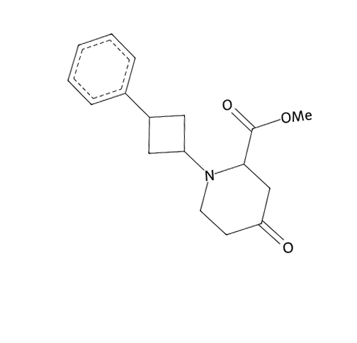 COC(=O)C1CC(=O)CCN1C1CC(c2ccccc2)C1